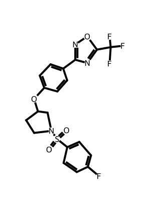 O=S(=O)(c1ccc(F)cc1)N1CCC(Oc2ccc(-c3noc(C(F)(F)F)n3)cc2)C1